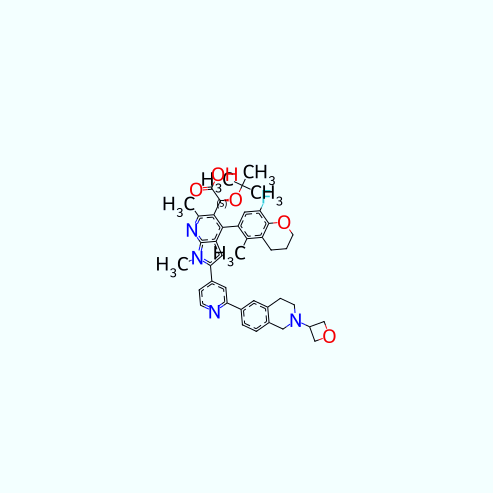 Cc1nc2c(cc(-c3ccnc(-c4ccc5c(c4)CCN(C4COC4)C5)c3)n2C)c(-c2cc(F)c3c(c2C)CCCO3)c1[C@H](OC(C)(C)C)C(=O)O